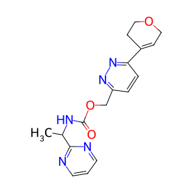 CC(NC(=O)OCc1ccc(C2=CCOCC2)nn1)c1ncccn1